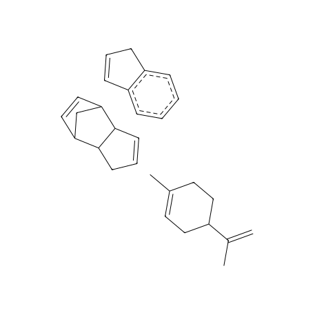 C1=CC2C3C=CC(C3)C2C1.C1=Cc2ccccc2C1.C=C(C)C1CC=C(C)CC1